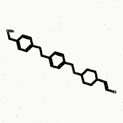 CCC=CC1CCC(CCc2ccc(CCc3ccc(COC)cc3)cc2)CC1